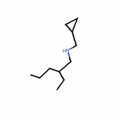 CCCC(CC)CNCC1CC1